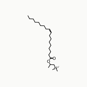 CCCCCCCC/C=C\CCCCCCCC(=O)OC(C)C[N+](C)(C)C